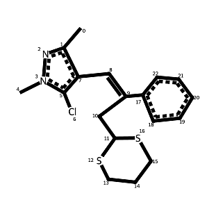 Cc1nn(C)c(Cl)c1/C=C(\CC1SCCCS1)c1ccccc1